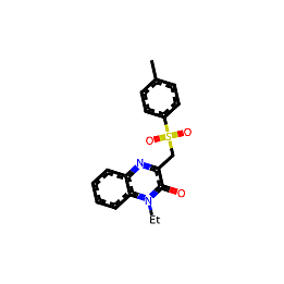 CCn1c(=O)c(CS(=O)(=O)c2ccc(C)cc2)nc2ccccc21